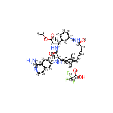 CCOC(=O)C[C@H]1NC(=O)[C@H](Nc2ccc3c(N)nccc3c2)c2cc(C)c(c(C)c2)CCCC(=O)Nc2cccc1c2.O=C(O)C(F)(F)F